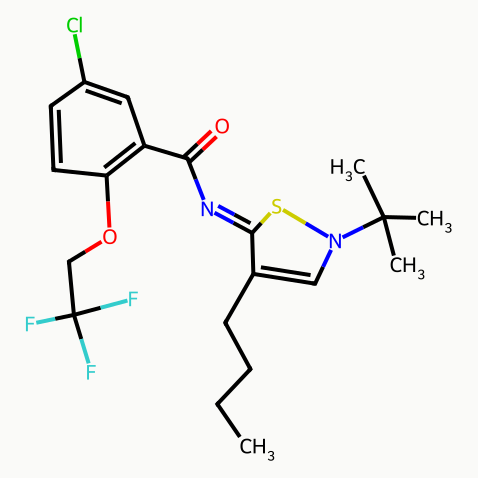 CCCCc1cn(C(C)(C)C)s/c1=N\C(=O)c1cc(Cl)ccc1OCC(F)(F)F